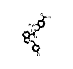 Cc1cc(C(=O)O)ccc1CNC(=O)c1cccc2ccn(Cc3ccc(Cl)cc3)c12